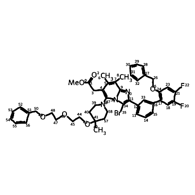 COC(=O)Cc1c(C)c(C)c2nc(-c3cccc(-c4cc(F)c(F)cc4OCc4ccccc4)c3)c(Br)n2c1N1CCC(C)(OCCOCCOCc2ccccc2)CC1